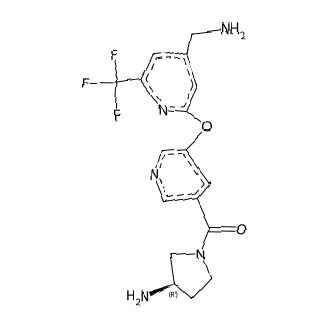 NCc1cc(Oc2cncc(C(=O)N3CC[C@@H](N)C3)c2)nc(C(F)(F)F)c1